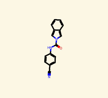 N#Cc1ccc(NC(=O)n2cc3ccccc3c2)cc1